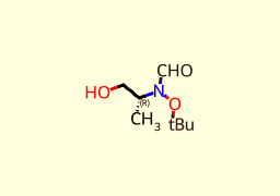 C[C@H](CO)N(C=O)OC(C)(C)C